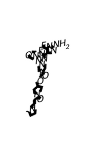 C[C@@H]1CCCN1C/C=C/C(=O)N1CCC(COCC(=O)N2CCN(c3nc(-c4cnc(N)nc4C(F)F)nc(N4CCOCC4)n3)CC2)CC1